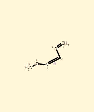 C=N/C=N\ON